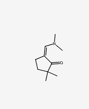 CN(C)C=C1CCC(C)(C)C1=O